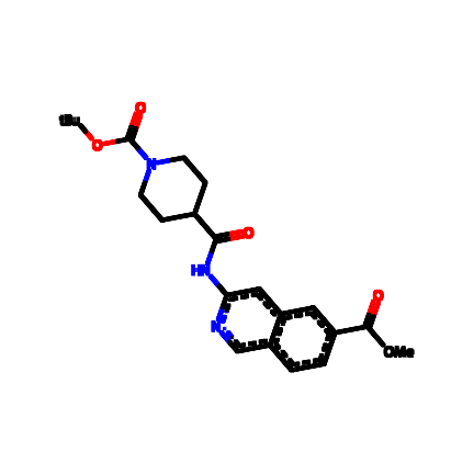 COC(=O)c1ccc2cnc(NC(=O)C3CCN(C(=O)OC(C)(C)C)CC3)cc2c1